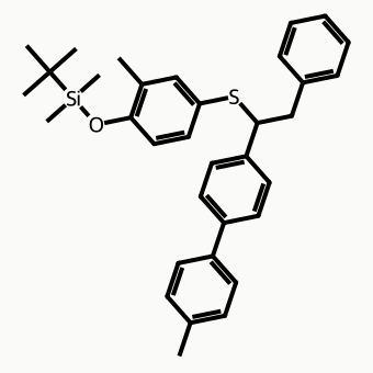 Cc1ccc(-c2ccc(C(Cc3ccccc3)Sc3ccc(O[Si](C)(C)C(C)(C)C)c(C)c3)cc2)cc1